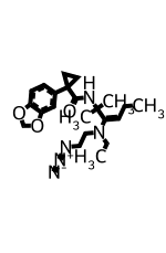 CC/C=C(/N(CC)CCN=[N+]=[N-])C(C)(C)NC(=O)C1(c2ccc3c(c2)OCO3)CC1